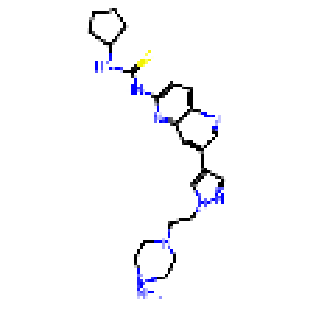 NN1CCN(CCn2cc(-c3cnc4ccc(NC(=S)NC5CCCC5)nc4c3)cn2)CC1